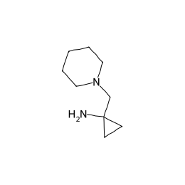 NC1(CN2CCCCC2)CC1